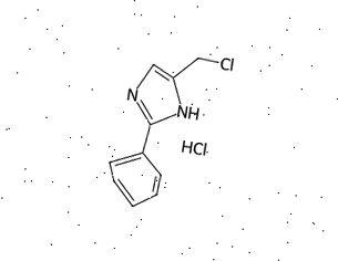 Cl.ClCc1cnc(-c2ccccc2)[nH]1